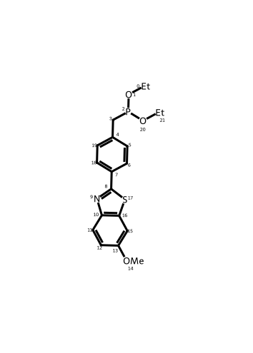 CCOP(Cc1ccc(-c2nc3ccc(OC)cc3s2)cc1)OCC